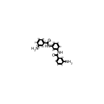 Nc1cccc(C(=O)Nc2cccc(NC(=O)c3cccc(N)c3)c2)c1